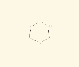 C1NCNSN1